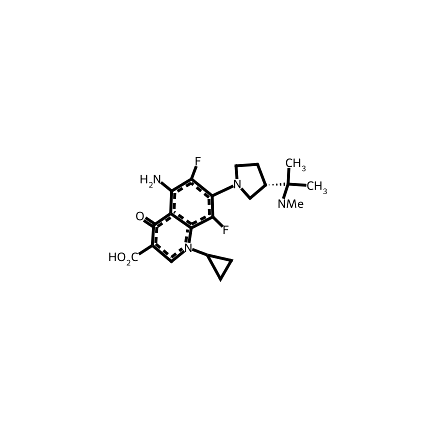 CNC(C)(C)[C@H]1CCN(c2c(F)c(N)c3c(=O)c(C(=O)O)cn(C4CC4)c3c2F)C1